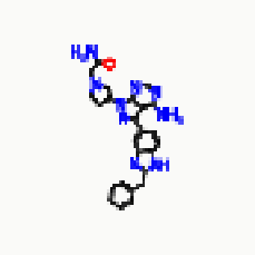 NC(=O)CN1CCC(n2nc(-c3ccc4[nH]c(Cc5ccccc5)nc4c3)c3c(N)ncnc32)C1